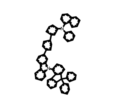 c1ccc(N(c2cccc(-c3ccc(-c4ccc5c6ccccc6n(-c6cccc7c6-c6ccccc6C7(c6ccccc6)c6ccccc6)c5c4)cc3)c2)c2cccc3ccccc23)cc1